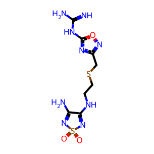 N=C(N)Nc1nc(CSCCNC2=NS(=O)(=O)N=C2N)no1